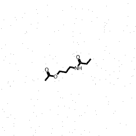 CCC(=O)NCCCOC(C)=O